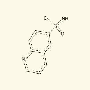 N=S(=O)(Cl)c1ccc2ncccc2c1